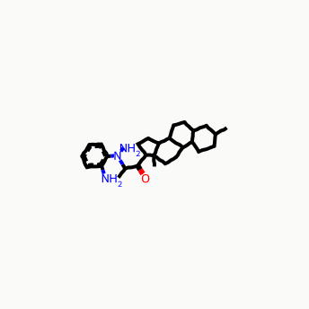 CC1CCC2C(CCC3C2CCC2(C)C(C(=O)C(C)N(N)c4ccccc4N)CCC32)C1